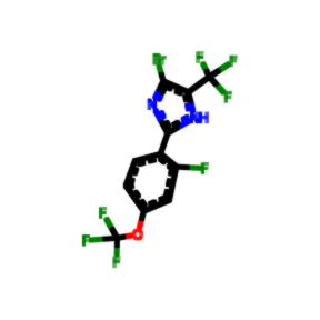 Fc1cc(OC(F)(F)F)ccc1-c1nc(Br)c(C(F)(F)F)[nH]1